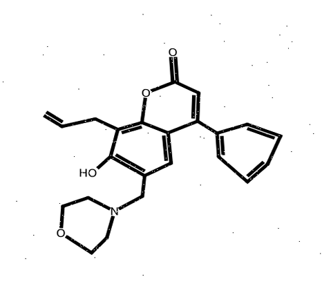 C=CCc1c(O)c(CN2CCOCC2)cc2c(-c3ccccc3)cc(=O)oc12